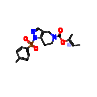 C/C=C(\C)OC(=O)N1CCc2c(cnn2S(=O)(=O)c2ccc(C)cc2)C1